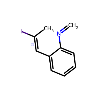 C=Nc1ccccc1/C=C(\C)I